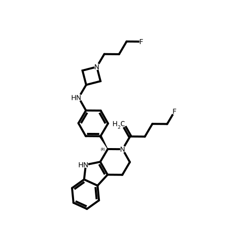 C=C(CCCF)N1CCc2c([nH]c3ccccc23)[C@H]1c1ccc(NC2CN(CCCF)C2)cc1